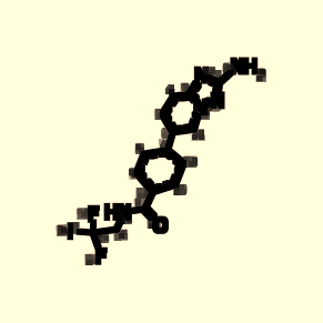 Nc1nc2ccc(-c3ccc(C(=O)NCC(F)(F)F)cc3)cn2n1